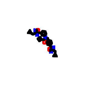 O=C(C1CCC1)N(CC12CCC(c3nc(CC4CC4)no3)(CC1)CC2)c1cccc(-c2nc(CC3CC3)no2)c1